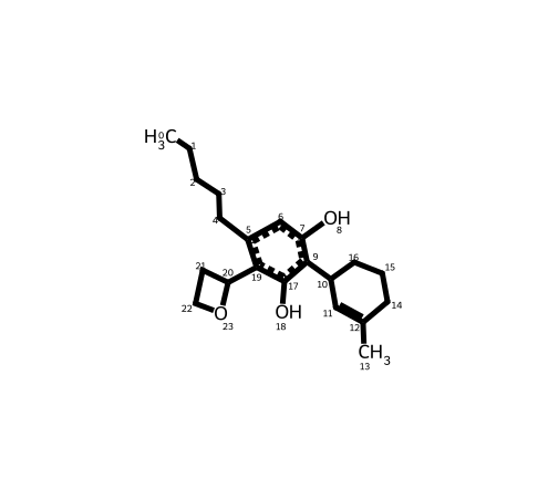 CCCCCc1cc(O)c(C2C=C(C)CCC2)c(O)c1C1CCO1